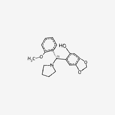 COc1ccccc1[C@H](c1cc2c(cc1O)OCO2)N1CCCC1